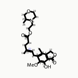 COc1c(O)c2c(c(C)c1C/C=C(\C)CCC(=O)OCCN1CCOCC1C)COC2=O